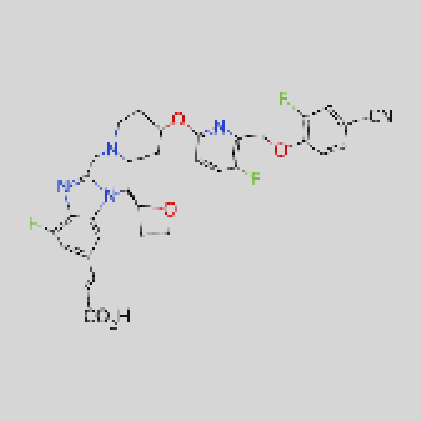 N#Cc1ccc(OCc2nc(OC3CCN(Cc4nc5c(F)cc(/C=C/C(=O)O)cc5n4C[C@@H]4CCO4)CC3)ccc2F)c(F)c1